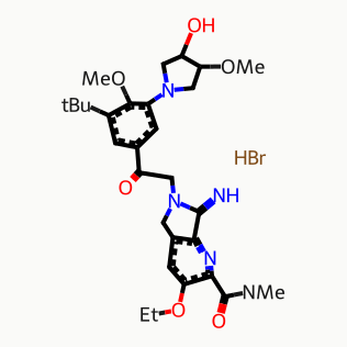 Br.CCOc1cc2c(nc1C(=O)NC)C(=N)N(CC(=O)c1cc(N3CC(O)C(OC)C3)c(OC)c(C(C)(C)C)c1)C2